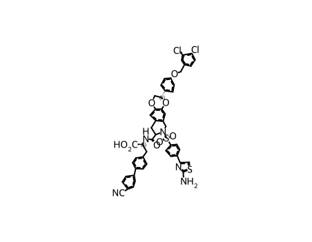 N#Cc1ccc(-c2ccc(C[C@H](NC(=O)C3Cc4cc5c(cc4CN3S(=O)(=O)c3ccc(-c4csc(N)n4)cc3)O[C@@H](c3ccc(OCc4ccc(Cl)c(Cl)c4)cc3)CO5)C(=O)O)cc2)cc1